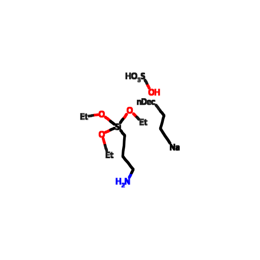 CCCCCCCCCCC[CH2][Na].CCO[Si](CCCN)(OCC)OCC.O=S(=O)(O)O